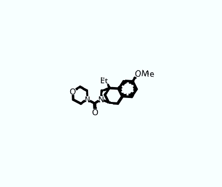 CCC12CC(Cc3ccc(OC)cc31)N(C(=O)N1CCOCC1)C2